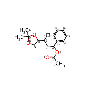 CC(=O)OC(CC(C)C1COC(C)(C)O1)c1ccccc1